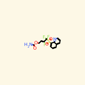 NC(=O)OC/C=C(\F)C(F)(F)S(=O)(=O)c1cccc2cccnc12